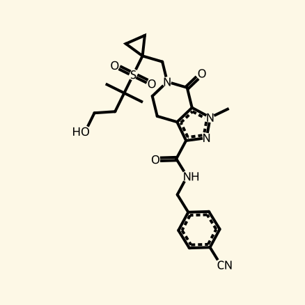 Cn1nc(C(=O)NCc2ccc(C#N)cc2)c2c1C(=O)N(CC1(S(=O)(=O)C(C)(C)CCO)CC1)CC2